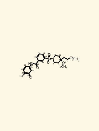 COCCC1(OC)CCN(S(=O)(=O)c2cccc(C(=O)Nc3ccc(F)c(Cl)c3)c2)CC1